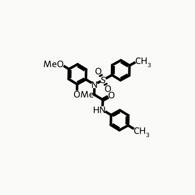 COc1ccc(N(CC(=O)Nc2ccc(C)cc2)S(=O)(=O)c2ccc(C)cc2)c(OC)c1